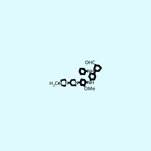 COc1cc(N2CCC(N3CCN(C)CC3)CC2)ccc1Nc1ccc(-c2cccc(C=O)c2)c(Nc2ccccc2)c1